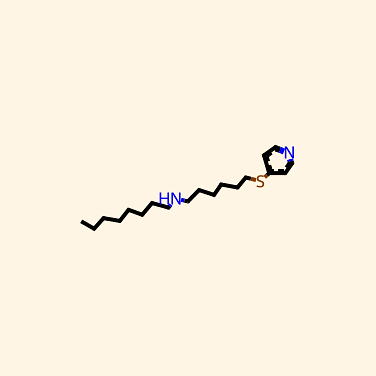 CCCCCCCCNCCCCCCSc1ccncc1